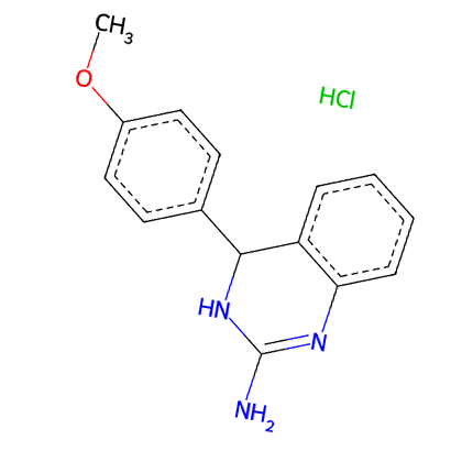 COc1ccc(C2NC(N)=Nc3ccccc32)cc1.Cl